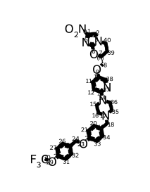 O=[N+]([O-])c1cn2c(n1)O[C@@H](COc1ccc(N3CCN(Cc4ccc(OCc5ccc(OC(F)(F)F)cc5)cc4)CC3)nc1)CC2